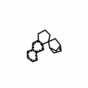 C1=C2CC(C1)C1(CCCc3cc4ccccc4cc31)C2